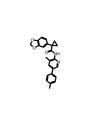 Cc1ccc(-c2cnc(NC(=O)C3(c4ccc5c(c4)OCO5)CC3)c(C)c2)cc1